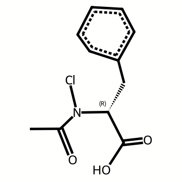 CC(=O)N(Cl)[C@H](Cc1ccccc1)C(=O)O